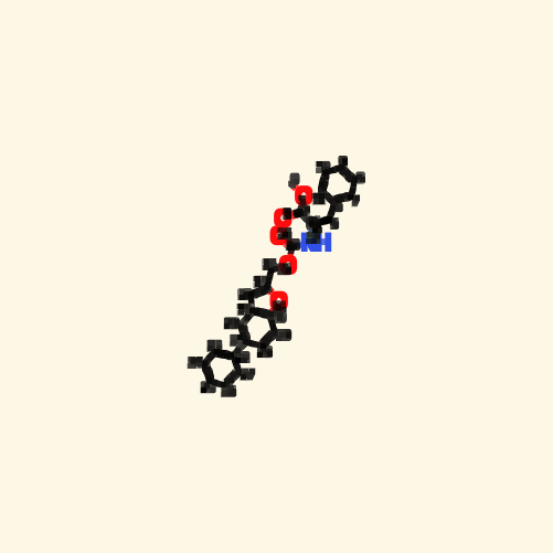 COC(=O)[C@@H](Cc1ccccc1)NC(=O)OCc1cc2cc(-c3ccccc3)ccc2o1